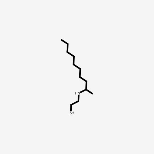 CCCCCCCCC(C)NCCS